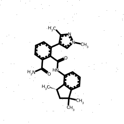 Cc1nn(C)cc1-c1cccc(C(N)=O)c1C(=O)Nc1cccc2c1[C@@H](C)CC2(C)C